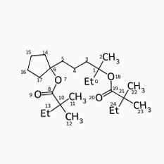 CCC(C)(CCCC1(OC(=O)C(C)(C)CC)CCCC1)OC(=O)C(C)(C)CC